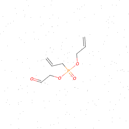 C=CCOP(=O)(CC=C)OCC=O